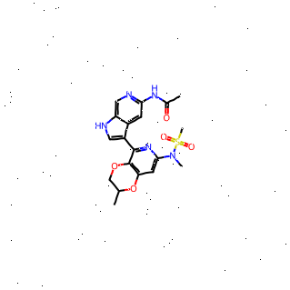 CC(=O)Nc1cc2c(-c3nc(N(C)S(C)(=O)=O)cc4c3OCC(C)O4)c[nH]c2cn1